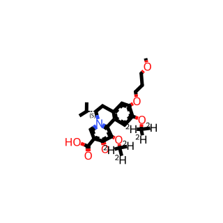 [2H]C([2H])([2H])Oc1cc2c(cc1OCCCOC)C[C@@H](C(C)C)n1cc(C(=O)O)c(=O)c(OC([2H])([2H])[2H])c1-2